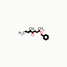 C=C/C=C(\C)C(=O)CCC(C)OCc1ccccc1